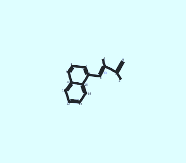 C=C(C)/C(C)=C/c1cccc2ccccc12